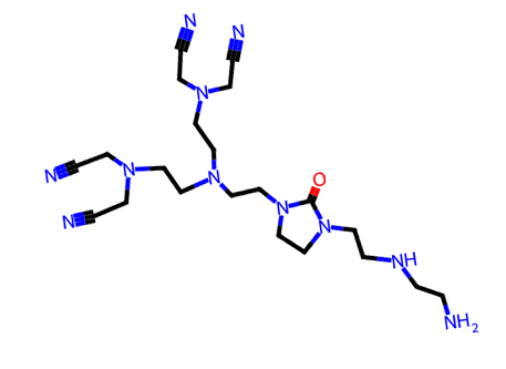 N#CCN(CC#N)CCN(CCN(CC#N)CC#N)CCN1CCN(CCNCCN)C1=O